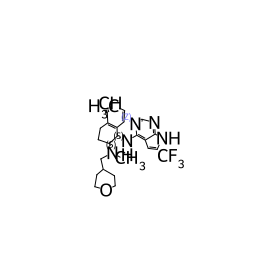 C#CC1=C(/C=C\C)[C@H](Nc2ncnc3[nH]c(C(F)(F)F)cc23)[C@@H](N(C)CC2CCOCC2)CC1